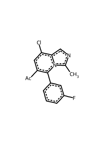 CC(=O)c1cc(Cl)c2cnc(C)n2c1-c1cccc(F)c1